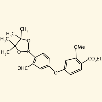 CCOC(=O)c1ccc(Oc2ccc(B3OC(C)(C)C(C)(C)O3)c(C=O)c2)cc1OC